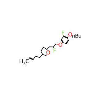 C/C=C/CCC1CCC(CC(F)COc2ccc(OCCCC)c(F)c2)OC1